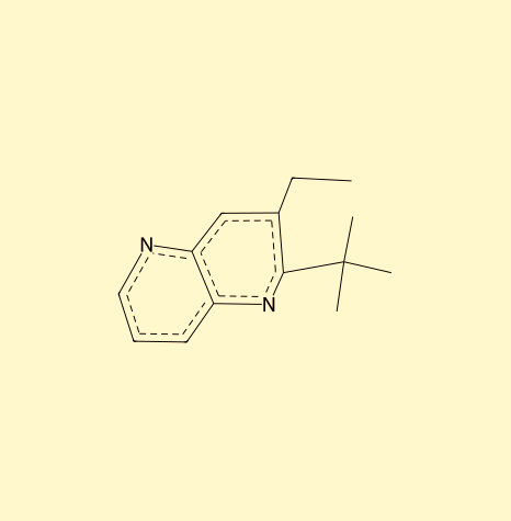 CCc1cc2ncccc2nc1C(C)(C)C